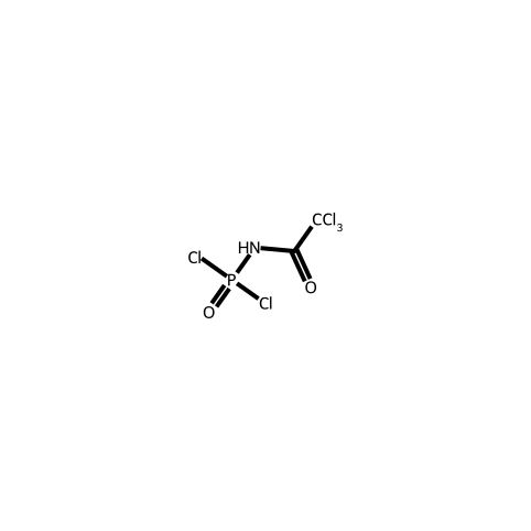 O=C(NP(=O)(Cl)Cl)C(Cl)(Cl)Cl